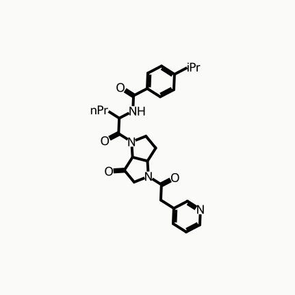 CCCC(NC(=O)c1ccc(C(C)C)cc1)C(=O)N1CCC2C1C(=O)CN2C(=O)Cc1cccnc1